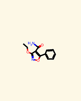 CCOc1noc(-c2ccccc2)c1C(N)=O